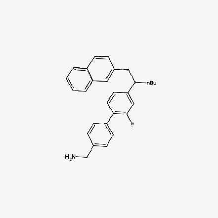 CCCCC(Cc1ccc2ccccc2c1)c1ccc(-c2ccc(CN)cc2)c(F)c1